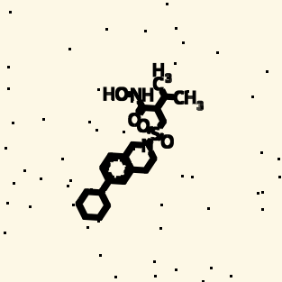 CC(C)C(CS(=O)(=O)N1CCc2cc(C3CCCCC3)ccc2C1)C(=O)NO